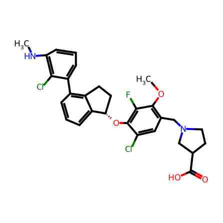 CNc1cccc(-c2cccc3c2CC[C@@H]3Oc2c(Cl)cc(CN3CCC(C(=O)O)C3)c(OC)c2F)c1Cl